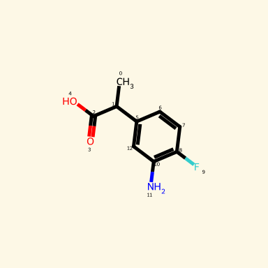 CC(C(=O)O)c1ccc(F)c(N)c1